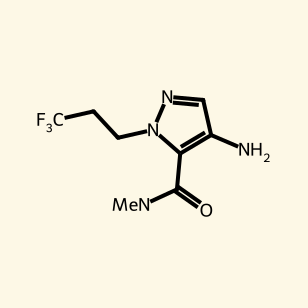 CNC(=O)c1c(N)cnn1CCC(F)(F)F